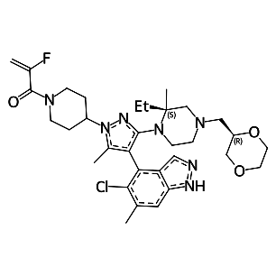 C=C(F)C(=O)N1CCC(n2nc(N3CCN(C[C@@H]4COCCO4)C[C@]3(C)CC)c(-c3c(Cl)c(C)cc4[nH]ncc34)c2C)CC1